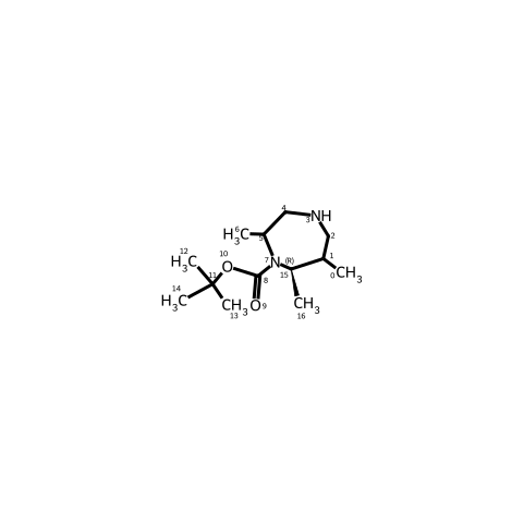 CC1CNCC(C)N(C(=O)OC(C)(C)C)[C@@H]1C